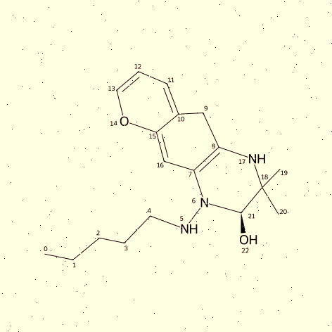 CCCCCNN1C2=C(CC3=CC=COC3=C2)NC(C)(C)[C@H]1O